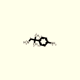 CC(C)(CN)c1ccc(N)cc1